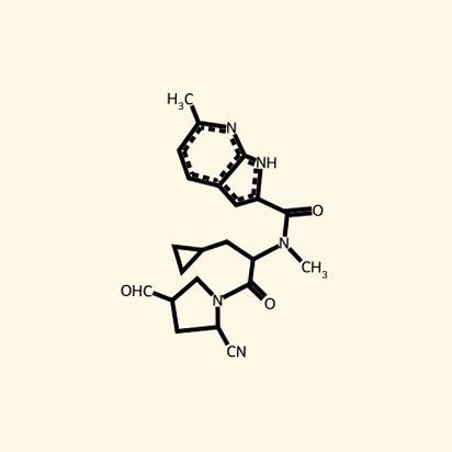 Cc1ccc2cc(C(=O)N(C)C(CC3CC3)C(=O)N3CC(C=O)CC3C#N)[nH]c2n1